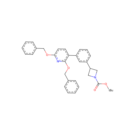 CC(C)(C)OC(=O)N1CC(c2cccc(-c3ccc(OCc4ccccc4)nc3OCc3ccccc3)c2)C1